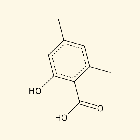 Cc1cc(C)c(C(=O)O)c(O)c1